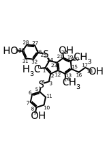 CC1=C(CSC2=CC=C(O)CC2)c2c(C)c(CCO)c(C)c(O)c2C1Sc1ccc(O)cc1